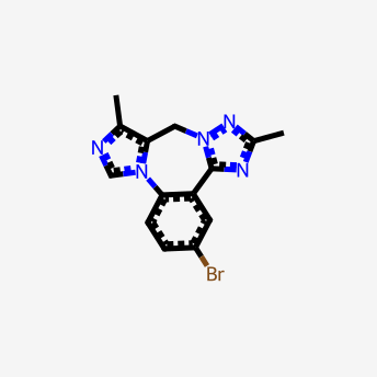 Cc1nc2n(n1)Cc1c(C)ncn1-c1ccc(Br)cc1-2